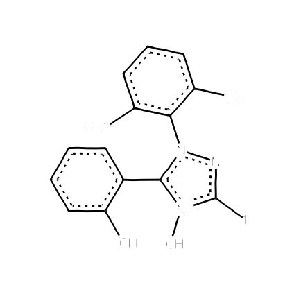 Cc1ccccc1-c1n(-c2c(C)cccc2C)nc(I)[n+]1C